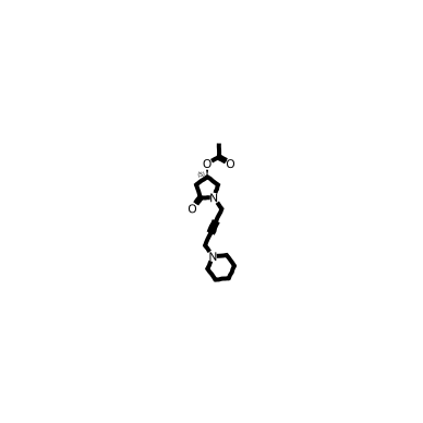 CC(=O)O[C@H]1CC(=O)N(CC#CCN2CCCCC2)C1